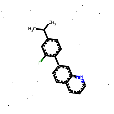 CC(C)c1ccc(-c2ccc3cccnc3c2)c(F)c1